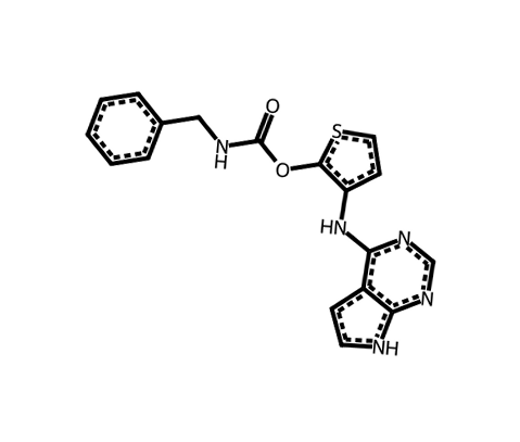 O=C(NCc1ccccc1)Oc1sccc1Nc1ncnc2[nH]ccc12